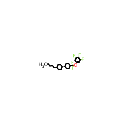 CCCCC[C@H]1CC[C@H](C2CCC(C(F)(F)Oc3cc(F)c(F)c(F)c3)CC2)CC1